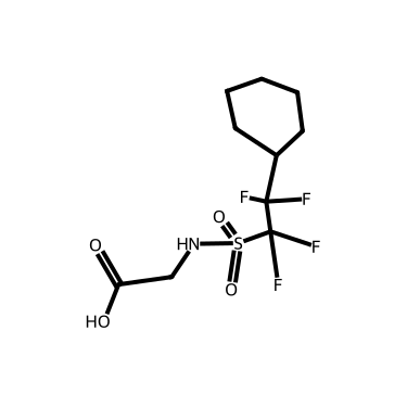 O=C(O)CNS(=O)(=O)C(F)(F)C(F)(F)C1CCCCC1